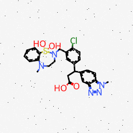 CN1CCN(Cc2cc(C(CC(=O)O)c3ccc4c(c3)nnn4C)ccc2Cl)S(O)(O)c2ccccc21